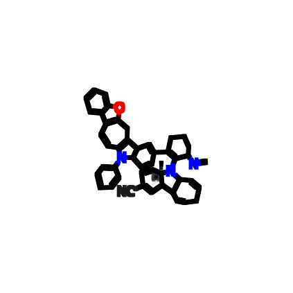 C=NC1CCCC(C2=CC3C4=C(C=Cc5c(oc6ccccc56)C4)N(c4ccccc4)C3C=C2)=C1N1C2C=CCC=CC2C2C=C(C#N)C=C[C@]21C